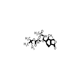 Cc1c([C@H](CNC(=O)OC(C)(C)C)NS(C)(=O)=O)ccc2c1COC2=O